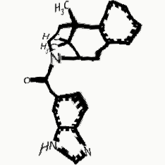 CC12CCN(C(=O)c3ccc4nc[nH]c4c3)C(Cc3ccccc31)C2(C)C